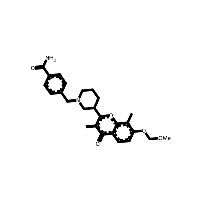 COCOc1ccc2c(=O)c(C)c(C3CCCN(Cc4ccc(C(N)=O)cc4)C3)oc2c1C